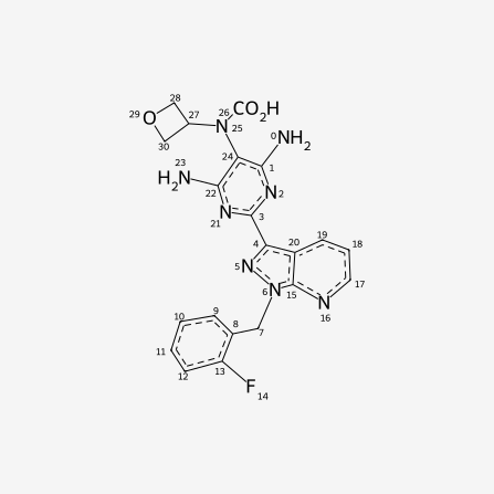 Nc1nc(-c2nn(Cc3ccccc3F)c3ncccc23)nc(N)c1N(C(=O)O)C1COC1